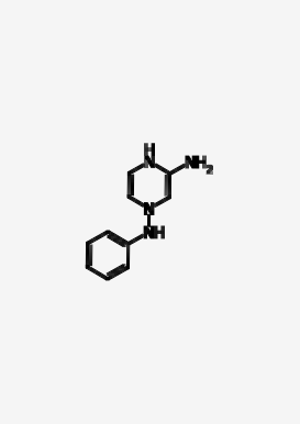 NC1=CN(Nc2ccccc2)C=CN1